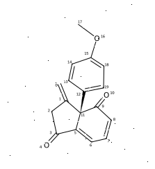 C=C1CC(=O)C2=CC=CC(=O)[C@@]12c1ccc(OC)cc1